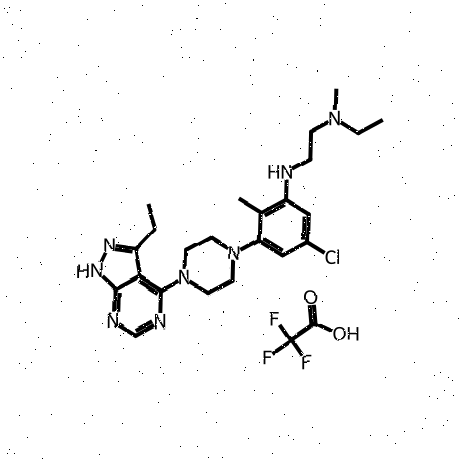 CCc1n[nH]c2ncnc(N3CCN(c4cc(Cl)cc(NCCN(C)CC)c4C)CC3)c12.O=C(O)C(F)(F)F